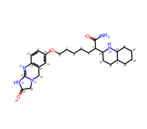 NC(=O)C(CCCCCOc1ccc2c(c1)CN1CC(=O)NC1=N2)C1CCC2CCCCC2N1